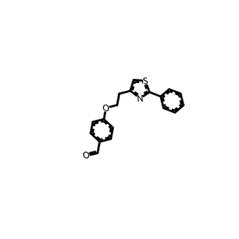 O=Cc1ccc(OCCc2csc(-c3ccccc3)n2)cc1